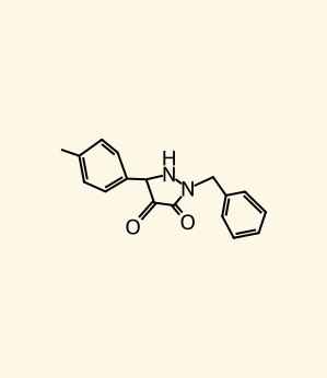 Cc1ccc(C2NN(Cc3ccccc3)C(=O)C2=O)cc1